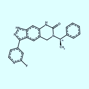 C[C@H](c1ccccc1)N1Cc2cc3c(-c4ccnc(F)c4)n[nH]c3cc2NC1=O